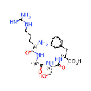 C[C@H](NC(=O)[C@@H](N)CCCNC(=N)N)C(=O)N[C@@H](CO)C(=O)N[C@@H](Cc1ccccc1)C(=O)O